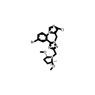 CO[C@H]1CC[C@](C)(OC)N1Cc1nc2n(n1)Cc1c(Cl)ncn1-c1ccc(Br)cc1-2